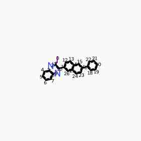 Ic1nc2ccccc2nc1-c1ccc2cc(-c3ccccc3)ccc2c1